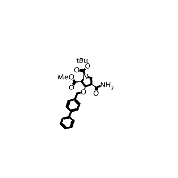 COC(=O)[C@@H]1[C@@H](OCc2ccc(-c3ccccc3)cc2)[C@H](C(N)=O)CN1C(=O)OC(C)(C)C